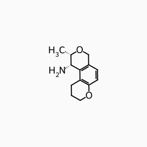 C[C@@H]1OCc2ccc3c(c2[C@@H]1N)CCCO3